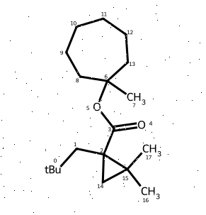 CC(C)(C)CC1(C(=O)OC2(C)CCCCCC2)CC1(C)C